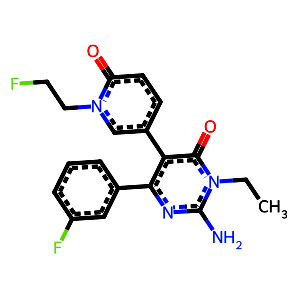 CCn1c(N)nc(-c2cccc(F)c2)c(-c2ccc(=O)n(CCF)c2)c1=O